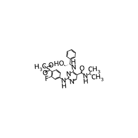 CC(C)NC(=O)c1cnc(Nc2ccc(S(C)(=O)=O)c(F)c2)nc1N[C@H](CO)c1ccccc1